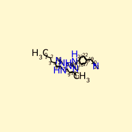 CCCCc1cc(Nc2cc(C)nc(Nc3ccc(CC#N)cc3)n2)[nH]n1